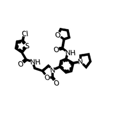 O=C(NCC1CN(c2ccc(N3CCCC3)c(NC(=O)C3CCCO3)c2)C(=O)O1)c1ccc(Cl)s1